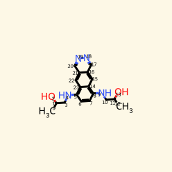 CC(O)CNc1ccc(NCC(C)O)c2cc3cnncc3cc12